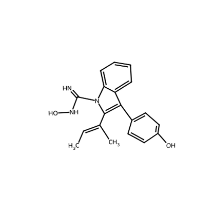 C/C=C(\C)c1c(-c2ccc(O)cc2)c2ccccc2n1C(=N)NO